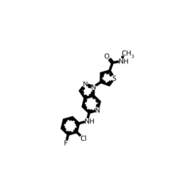 CNC(=O)c1cc(-n2ncc3cc(Nc4cccc(F)c4Cl)ncc32)cs1